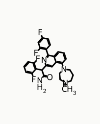 CN1CCCN(c2cccc3c(-c4ccc(F)cc4F)nc(C(C(N)=O)c4c(F)cccc4F)cc23)CC1